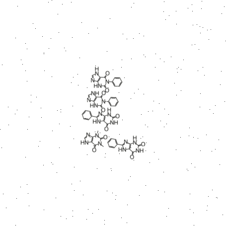 Cn1c(=O)c2[nH]cnc2n(C)c1=O.O=c1[nH]c(=O)c2[nH]c(-c3ccccc3)nc2[nH]1.O=c1[nH]c(=O)c2[nH]c(-c3ccccc3)nc2[nH]1.O=c1[nH]c2nc[nH]c2c(=O)n1-c1ccccc1.O=c1[nH]c2nc[nH]c2c(=O)n1-c1ccccc1